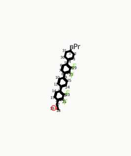 CCCC1CC=C(c2ccc(-c3ccc(-c4ccc(C5CO5)c(F)c4F)cc3)c(F)c2F)CC1